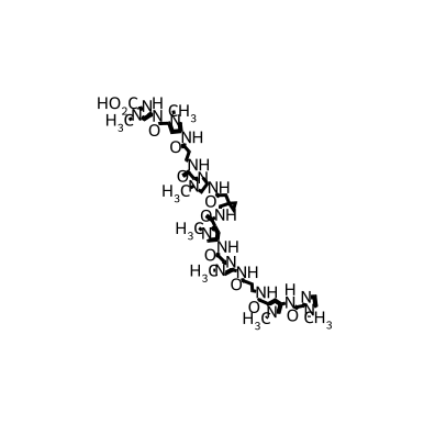 CN1CC(NC(=O)CC2(CNC(=O)c3cc(NC(=O)c4nc(NC(=O)CCNC(=O)c5cc(NC(=O)c6nccn6C)cn5C)cn4C)cn3C)CC2)N=C1C(=O)NCCC(=O)Nc1cc(C(=O)Nc2cn(C)c(C(=O)O)n2)n(C)c1